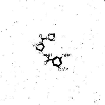 COc1cc(OC)cc(C(=O)NC[C@@H]2CN[C@H](C(=O)N3CCSC3)C2)c1